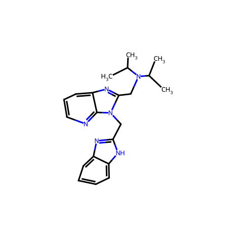 CC(C)N(Cc1nc2cccnc2n1Cc1nc2ccccc2[nH]1)C(C)C